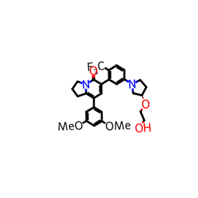 COc1cc(OC)cc(-c2cc(-c3cc(N4CC[C@H](OCCO)C4)ccc3C(F)(F)F)c(=O)n3c2CCC3)c1